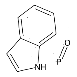 O=[P].c1ccc2[nH]ccc2c1